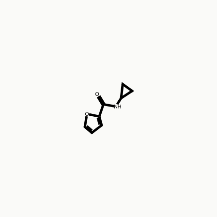 O=C(NC1CC1)c1ccco1